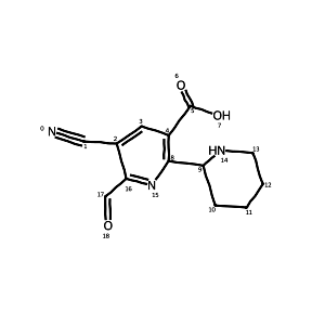 N#Cc1cc(C(=O)O)c(C2CCCCN2)nc1C=O